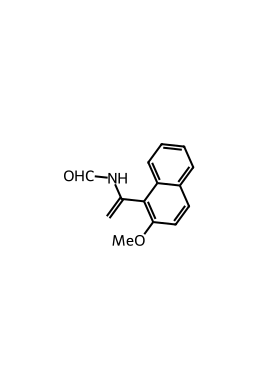 C=C(NC=O)c1c(OC)ccc2ccccc12